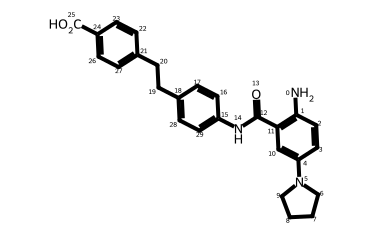 Nc1ccc(N2CCCC2)cc1C(=O)Nc1ccc(CCc2ccc(C(=O)O)cc2)cc1